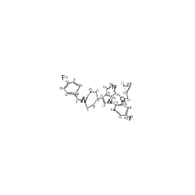 Fc1ccc(CN2CCC(c3cn(-c4ccc(F)cc4OCC4CC4)c4cnccc34)CC2)cc1